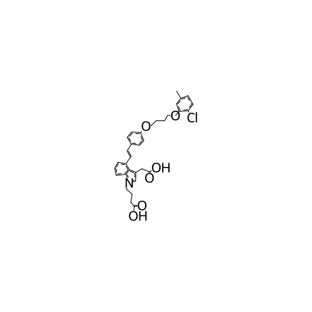 Cc1ccc(Cl)c(OCCCCOc2ccc(C=Cc3cccc4c3c(CC(=O)O)cn4CCCC(=O)O)cc2)c1